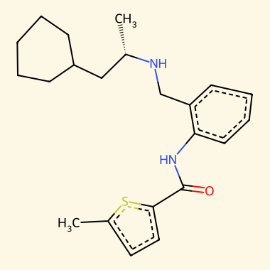 Cc1ccc(C(=O)Nc2ccccc2CN[C@@H](C)CC2CCCCC2)s1